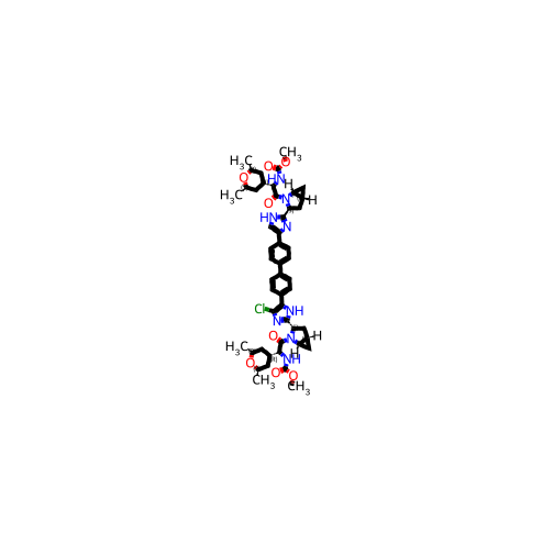 COC(=O)NC(C(=O)N1[C@@H]2C[C@@H]2C[C@H]1c1nc(-c2ccc(-c3ccc(-c4[nH]c([C@@H]5C[C@H]6C[C@H]6N5C(=O)C(NC(=O)OC)[C@H]5C[C@@H](C)O[C@@H](C)C5)nc4Cl)cc3)cc2)c[nH]1)[C@H]1C[C@@H](C)O[C@@H](C)C1